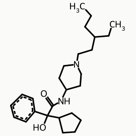 CCCC(CC)CCN1CCC(NC(=O)C(O)(c2ccccc2)C2CCCC2)CC1